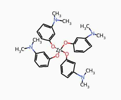 CN(C)c1cccc([O][Zn]([O]c2cccc(N(C)C)c2)([O]c2cccc(N(C)C)c2)[O]c2cccc(N(C)C)c2)c1